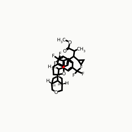 COC(=O)C(C)C(c1ccc2c(c1)OC(C1[C@@H]3COC[C@H]1CN(C(C)c1cc(C(F)(F)F)ccc1C(F)(F)F)C3)CC2)C1CC1